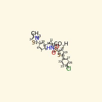 Cc1csc(-c2cccc(C3CC3(NS(=O)(=O)c3ccc(-c4ccc(Cl)cc4)s3)C(=O)O)c2)n1